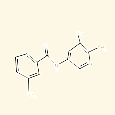 Cc1cccc(C(=O)Nc2cnc(C)c(C(C)(C)C)c2)c1